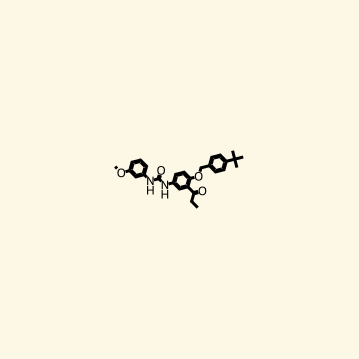 CCC(=O)c1cc(NC(=O)Nc2cccc(OC)c2)ccc1OCc1ccc(C(C)(C)C)cc1